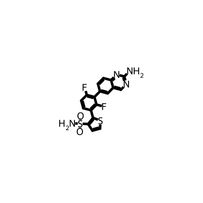 Nc1ncc2cc(-c3c(F)ccc(-c4sccc4S(N)(=O)=O)c3F)ccc2n1